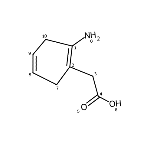 NC1=C(CC(=O)O)CC=CC1